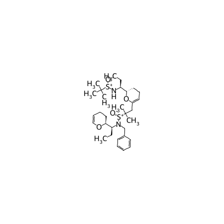 CC[C@H](N[S@@+]([O-])C(C)(C)C)[C@@H]1CCC=C(CC(C)(C)[S@+]([O-])N(Cc2ccccc2)[C@@H](CC)[C@@H]2CCC=CO2)O1